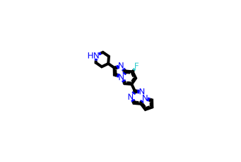 Fc1cc(-c2ncc3cccn3n2)cn2cc(C3CCNCC3)nc12